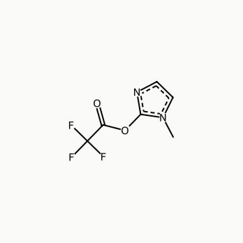 Cn1ccnc1OC(=O)C(F)(F)F